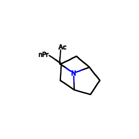 CCCC1CC2CCC(C1)N2CC(C)=O